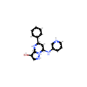 Brc1cnn2c(Nc3cccnc3)cc(-c3ccccc3)nc12